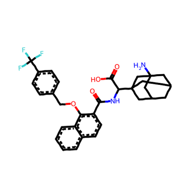 NC12CC3CC(C1)CC(C(NC(=O)c1ccc4ccccc4c1OCc1ccc(C(F)(F)F)cc1)C(=O)O)(C3)C2